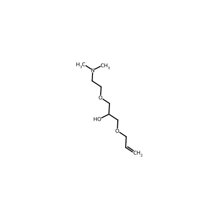 C=CCOCC(O)COCCN(C)C